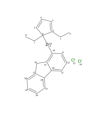 CCC1=CC=C[C]1(CC)[Zr+2][c]1cccc2c1Cc1ccccc1-2.[Cl-].[Cl-]